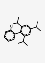 CC(C)c1cc(C(C)C)c(-c2ccccc2Cl)c(C(C)C)c1